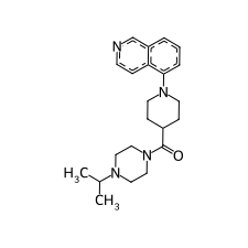 CC(C)N1CCN(C(=O)C2CCN(c3cccc4cnccc34)CC2)CC1